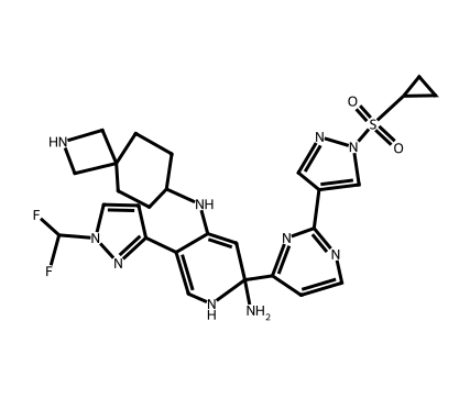 NC1(c2ccnc(-c3cnn(S(=O)(=O)C4CC4)c3)n2)C=C(NC2CCC3(CC2)CNC3)C(c2ccn(C(F)F)n2)=CN1